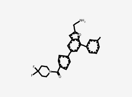 Cc1cccc(-c2cc(-c3ccc(C(=O)N4CCC(F)(F)CC4)cc3)cc3cc(CN)oc23)c1